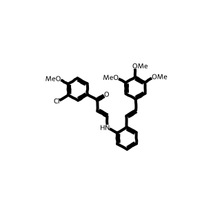 COc1ccc(C(=O)C=CNc2ccccc2C=Cc2cc(OC)c(OC)c(OC)c2)cc1Cl